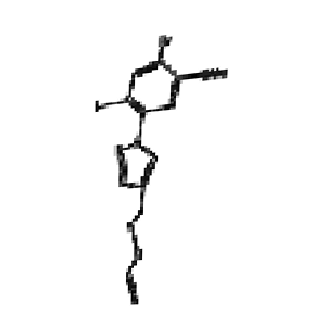 COc1cc(-n2cc(CSOC=S)cn2)c(I)cc1Br